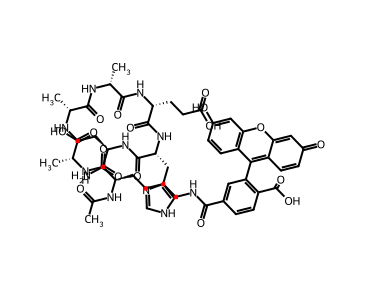 CC(=O)N[C@H](CCCCNC(=O)c1ccc(C(=O)O)c(-c2c3ccc(=O)cc-3oc3cc(O)ccc23)c1)C(=O)N[C@H](C)C(=O)N[C@H](C)C(=O)N[C@H](C)C(=O)N[C@H](CCC(=O)O)C(=O)N[C@H](Cc1c[nH]cn1)C(=O)N[C@H](CCO)C(N)=O